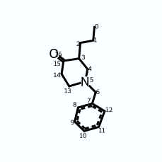 CCCC1CN(Cc2ccccc2)CCC1=O